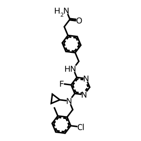 Cc1cccc(Cl)c1CN(c1ncnc(NCc2ccc(CC(N)=O)cc2)c1F)C1CC1